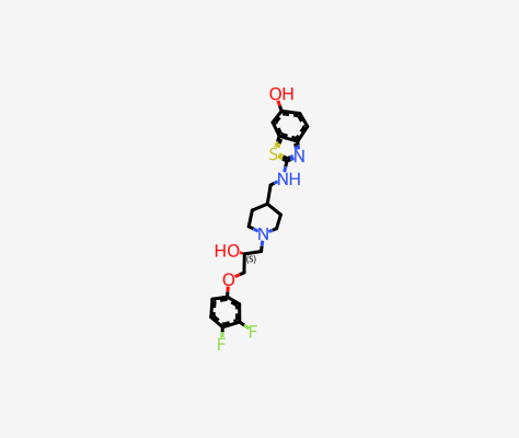 Oc1ccc2nc(NCC3CCN(C[C@H](O)COc4ccc(F)c(F)c4)CC3)sc2c1